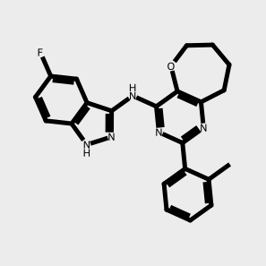 Cc1ccccc1-c1nc2c(c(Nc3n[nH]c4ccc(F)cc34)n1)OCCCC2